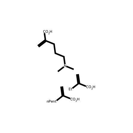 C=C(CC)C(=O)O.C=C(CCCCC)C(=O)O.C=C(CCCN(C)C)C(=O)O